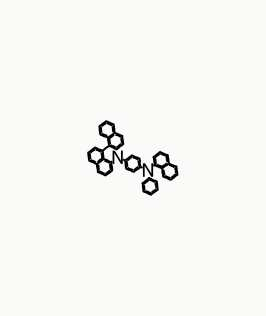 c1ccc(N(c2ccc(N3c4ccc5ccccc5c4-c4cccc5cccc3c45)cc2)c2cccc3ccccc23)cc1